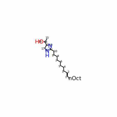 CCCCCCCCC=CCCCCCCCCC1=NC(C(C)O)CN1